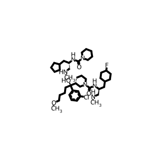 CNC[C@H](CC1CCC(F)CC1)NC(=O)N1CCC[C@@H]([C@@](O)(CCCCOC)c2cccc(Cl)c2)C1.CNC[C@H](CC1CCCC1)NC(=O)N1CCCCC1